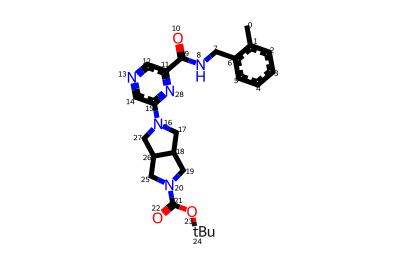 Cc1ccccc1CNC(=O)c1cncc(N2CC3CN(C(=O)OC(C)(C)C)CC3C2)n1